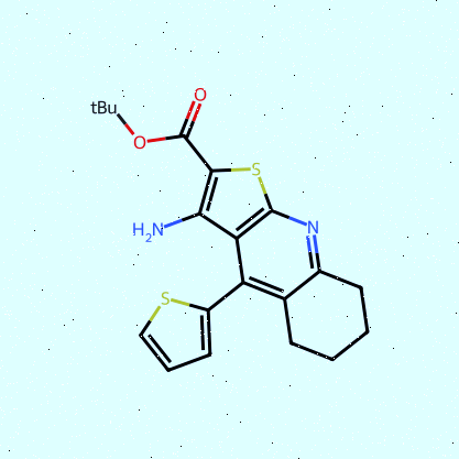 CC(C)(C)OC(=O)c1sc2nc3c(c(-c4cccs4)c2c1N)CCCC3